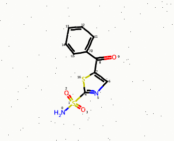 NS(=O)(=O)c1ncc(C(=O)c2ccccc2)s1